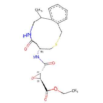 CCOC(=O)[C@H]1O[C@@H]1C(=O)N[C@H]1CSCc2ccccc2C(C)CNC1=O